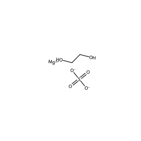 O=S(=O)([O-])[O-].OCCO.[Mg+2]